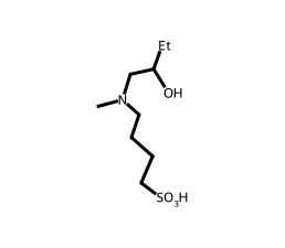 CCC(O)CN(C)CCCCS(=O)(=O)O